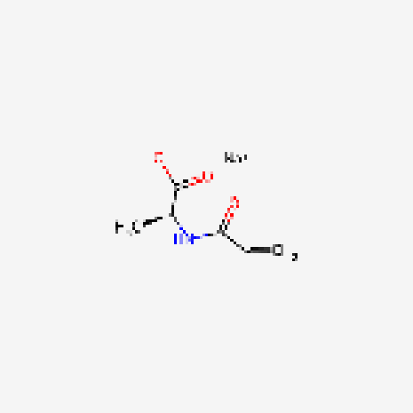 C=CC(=O)N[C@@H](C)C(=O)[O-].[Na+]